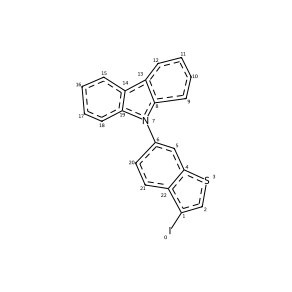 Ic1csc2cc(-n3c4ccccc4c4ccccc43)ccc12